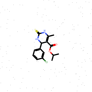 CC1=C(C(=O)OC(C)C)C(c2cccc(Cl)c2)NC(=S)N1